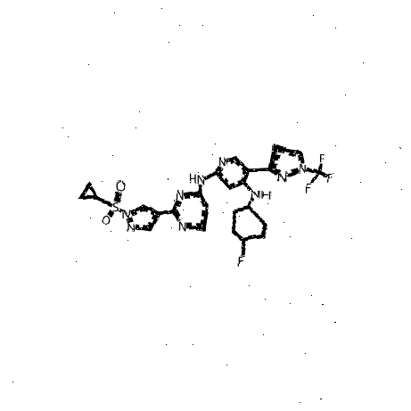 O=S(=O)(C1CC1)n1cc(-c2nccc(Nc3cc(NC4CCC(F)CC4)c(-c4ccn(C(F)(F)F)n4)cn3)n2)cn1